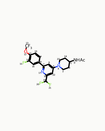 CC(=O)NC1CCN(c2cc(-c3ccc(OC(F)(F)F)c(F)c3)nc(C(F)F)c2)CC1